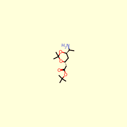 CC(N)[C@H]1C[C@H](CC(=O)OC(C)(C)C)OC(C)(C)O1